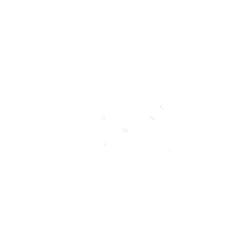 O=C(O)CCn1nc(C(F)F)cc1-c1nc(C2(c3ccc(Cl)cc3Cl)CC2)no1